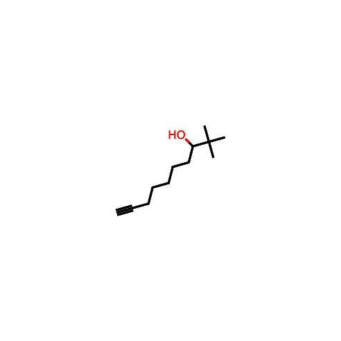 C#CCCCCCC(O)C(C)(C)C